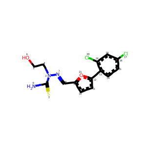 NC(=S)N(CCO)N=Cc1ccc(-c2ccc(Cl)cc2Cl)o1